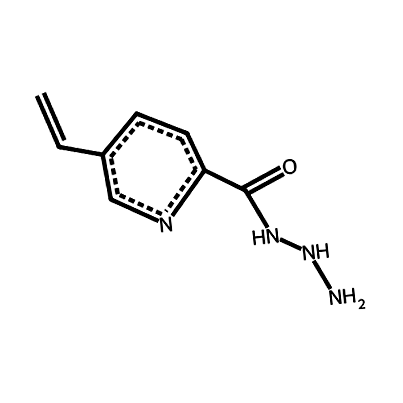 C=Cc1ccc(C(=O)NNN)nc1